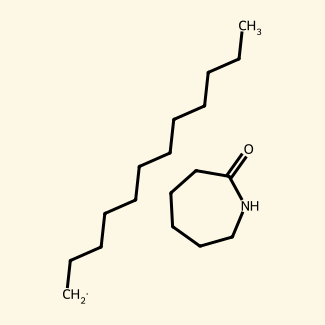 O=C1CCCCCN1.[CH2]CCCCCCCCCCC